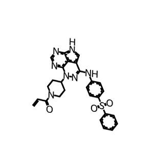 C=CC(=O)N1CCC(N2N=C(Nc3ccc(S(=O)(=O)c4ccccc4)cc3)c3c[nH]c4ncnc2c34)CC1